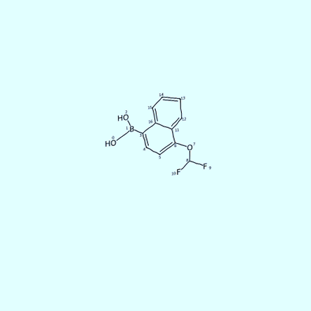 OB(O)c1ccc(OC(F)F)c2ccccc12